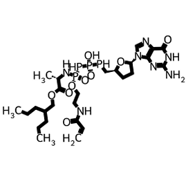 C=CC(=O)NCCOP(=O)(N[C@@H](C)C(=O)OCC(CCC)CCC)PP(=O)(O)PC[C@@H]1CC[C@H](n2cnc3c(=O)[nH]c(N)nc32)O1